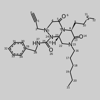 C#CCN1CC(=O)N2[C@@H](CCSC)C(=O)N(CCCCCC)C[C@@H]2N1C(=O)NCc1ccccc1